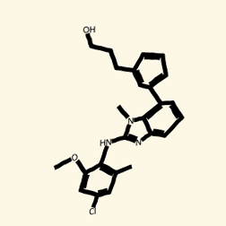 COc1cc(Cl)cc(C)c1Nc1nc2cccc(-c3cccc(CCCO)c3)c2n1C